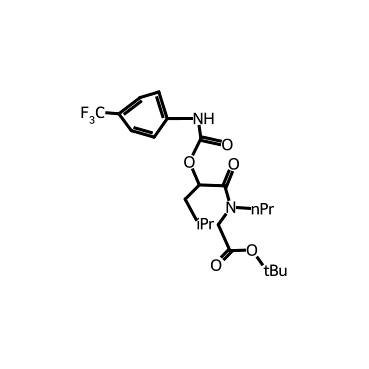 CCCN(CC(=O)OC(C)(C)C)C(=O)C(CC(C)C)OC(=O)Nc1ccc(C(F)(F)F)cc1